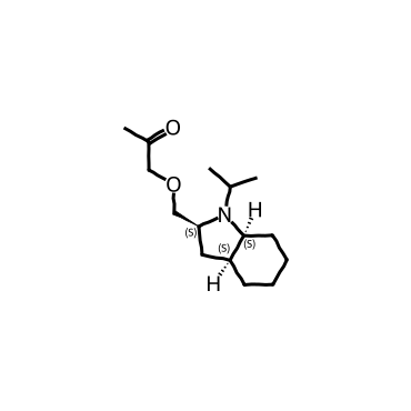 CC(=O)COC[C@@H]1C[C@@H]2CCCC[C@@H]2N1C(C)C